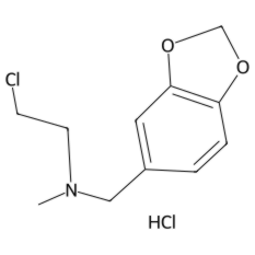 CN(CCCl)Cc1ccc2c(c1)OCO2.Cl